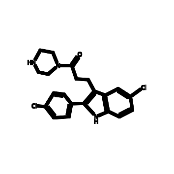 O=C(CCc1c(-c2ccc(Cl)cc2)[nH]c2ccc(Cl)cc12)N1CCNCC1